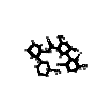 Nc1cc(F)c(-c2c(F)ccc(O)c2F)nc1C(=O)Nc1cnccc1N1CCC[C@H](N)C1